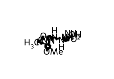 COc1ccc(-c2nc(NCCNc3ccc([NH+]([O-])O)c(N)n3)ccc2N2CCN(C)CC2=O)cc1